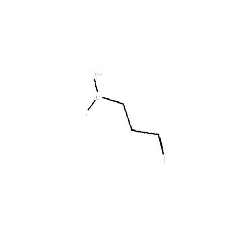 OB(O)CCCI